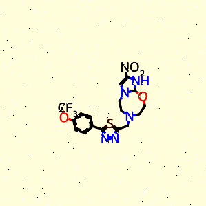 O=[N+]([O-])C1=CN2CCN(Cc3nnc(-c4ccc(OC(F)(F)F)cc4)s3)CCOC2N1